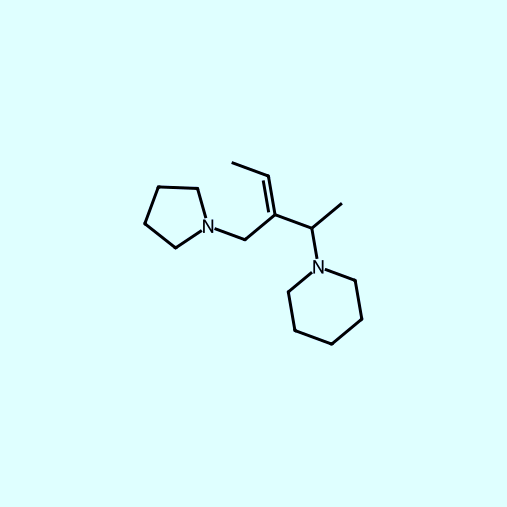 CC=C(CN1CCCC1)C(C)N1CCCCC1